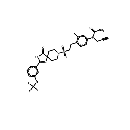 Cc1cc(N(CC#N)C(N)=O)ccc1CCS(=O)(=O)N1CCC2(CC1)N=C(c1cccc(OC(F)(F)F)c1)NC2=O